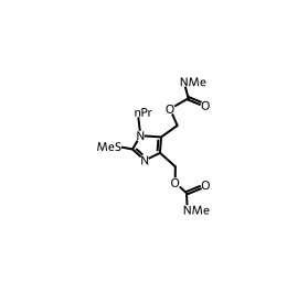 CCCn1c(SC)nc(COC(=O)NC)c1COC(=O)NC